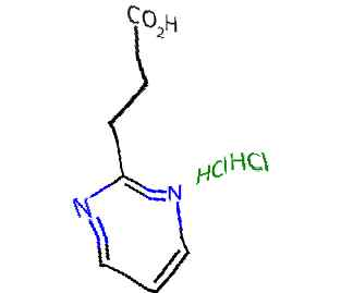 Cl.Cl.O=C(O)CCc1ncccn1